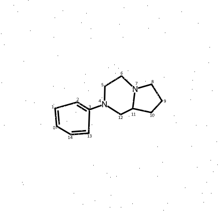 [c]1ccc(N2CCN3CCCC3C2)cc1